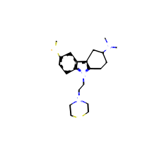 CN(C)C1CCc2c(c3cc([S+](C)[O-])ccc3n2CCN2CCSCC2)C1